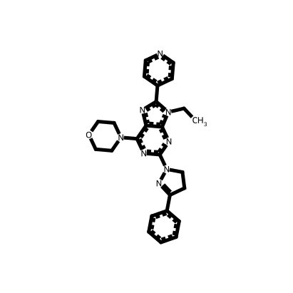 CCn1c(-c2ccncc2)nc2c(N3CCOCC3)nc(N3CCC(c4ccccc4)=N3)nc21